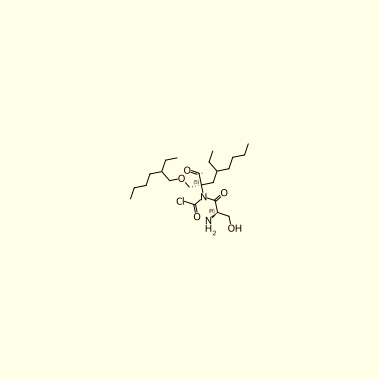 CCCCC(CC)COC[C@]([C]=O)(CC(CC)CCCC)N(C(=O)Cl)C(=O)[C@H](N)CO